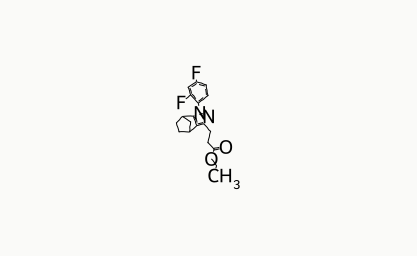 CCOC(=O)CCc1nn(-c2ccc(F)cc2F)c2c1C1CCC2C1